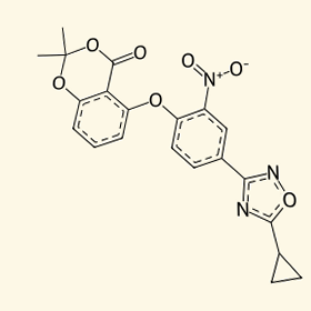 CC1(C)OC(=O)c2c(Oc3ccc(-c4noc(C5CC5)n4)cc3[N+](=O)[O-])cccc2O1